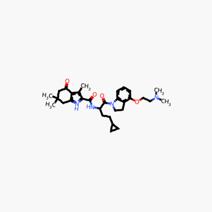 Cc1c(C(=O)NC(CCC2CC2)C(=O)N2CCc3c(OCCN(C)C)cccc32)[nH]c2c1C(=O)CC(C)(C)C2